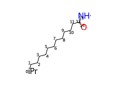 CC(C)CCCCCCCCCCCC([NH])=O